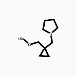 CC(C)(C)OCC1(CN2CCCC2)CC1